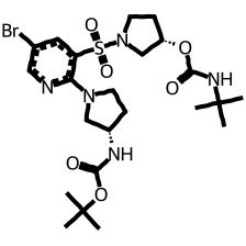 CC(C)(C)NC(=O)O[C@H]1CCN(S(=O)(=O)c2cc(Br)cnc2N2CC[C@H](NC(=O)OC(C)(C)C)C2)C1